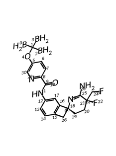 BC(B)(B)Oc1ccc(C(=O)Nc2ccc3c(c2)[C@@]2(CC[C@@](F)(CF)C(N)=N2)C3)nc1